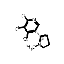 CN1CCC[C@H]1c1cnc(Cl)c(Cl)c1Cl